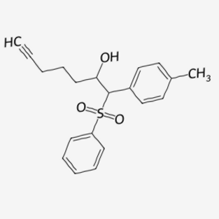 C#CCCCC(O)C(c1ccc(C)cc1)S(=O)(=O)c1ccccc1